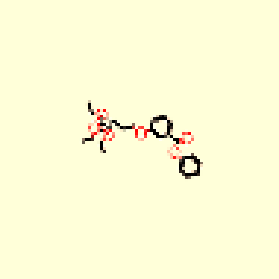 CCO[Si](CCCOc1cccc(C(=O)Oc2ccccc2)c1)(OCC)OCC